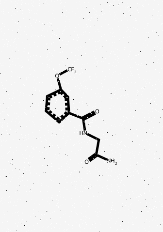 NC(=O)CNC(=O)c1cccc(OC(F)(F)F)c1